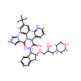 CC(C)(C)c1ccc(N(C(=O)c2c[nH]cn2)C(C(=O)N[C@@H]2c3ccccc3C[C@@H]2OC[C@@H](O)CN2CCOCC2)c2cccnc2)cc1